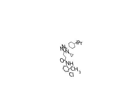 Cc1c(Cl)cccc1NC(=O)CCc1nnc([C@H]2CC[C@H](C(C)C)CC2)n1C1CC1